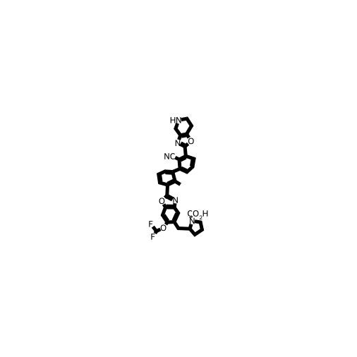 Cc1c(-c2nc3cc(CC4CCCN4C(=O)O)c(OC(F)F)cc3o2)cccc1-c1cccc(-c2nc3c(o2)CCNC3)c1C#N